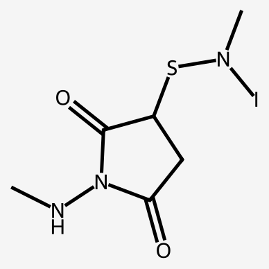 CNN1C(=O)CC(SN(C)I)C1=O